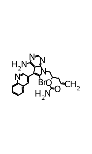 C=CCC(Cn1c(Br)c(-c2cnc3ccccc3c2)c2c(N)ncnc21)OC(N)=O